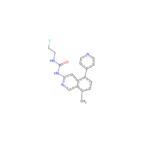 Cc1ccc(-c2ccncc2)c2cc(NC(=O)NCCF)ncc12